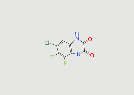 O=C1[N]c2c(cc(Cl)c(F)c2F)NC1=O